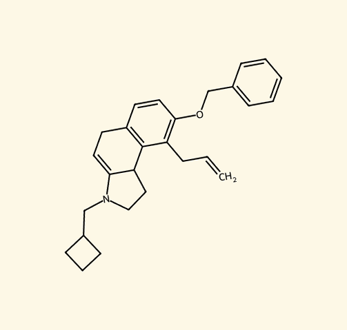 C=CCc1c(OCc2ccccc2)ccc2c1C1CCN(CC3CCC3)C1=CC2